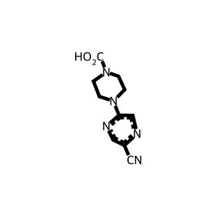 N#Cc1cnc(N2CCN(C(=O)O)CC2)cn1